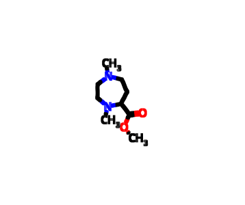 COC(=O)C1CCN(C)CCN1C